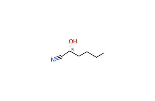 CCCC[C@@H](O)C#N